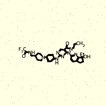 C=CCn1c(=O)c2cnc(Nc3ccc(N4CCC(CNC(=O)C(F)(F)F)CC4)cc3)nc2n1-c1ccc2c(n1)[C@@](O)(CC)CC2